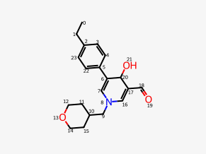 CCc1ccc(C2=CN(CC3CCOCC3)C=C(C=O)C2O)cc1